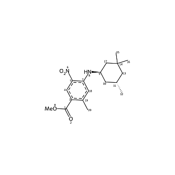 COC(=O)c1cc([N+](=O)[O-])c(N[C@@H]2C[C@@H](C)CC(C)(C)C2)cc1C